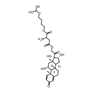 C[C@]12C=CC(=O)C=C1CC[C@H]1[C@@H]3C[C@@H](O)[C@](O)(C(=O)COC(=O)CC(N)C(=O)OCCCCON(O)O)[C@@]3(C)C[C@H](O)[C@@]12F